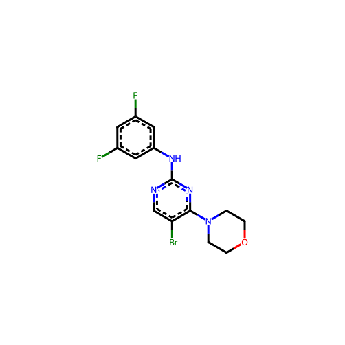 Fc1cc(F)cc(Nc2ncc(Br)c(N3CCOCC3)n2)c1